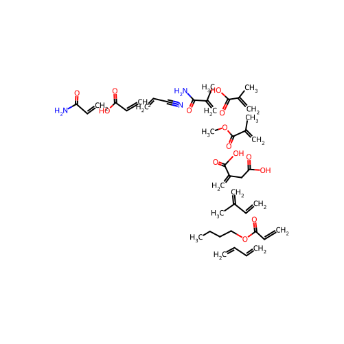 C=C(C)C(=O)O.C=C(C)C(=O)OC.C=C(C)C(N)=O.C=C(CC(=O)O)C(=O)O.C=CC#N.C=CC(=C)C.C=CC(=O)O.C=CC(=O)OCCCC.C=CC(N)=O.C=CC=C